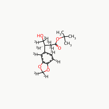 [2H]c1c([2H])c([C@@]([2H])(C([2H])([2H])O)C([2H])([2H])C(=O)OC(C)(C)C)c([2H])c2c1OC([2H])([2H])O2